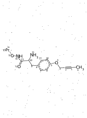 CC#CCOc1ccc(CC(N)C(=O)NOCCC)cc1